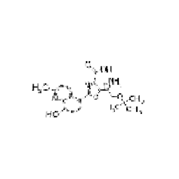 Cc1ccc2c(-c3nc(C(=O)O)c([C@@H](N)COC(C)(C)C)o3)ccc(O)c2n1